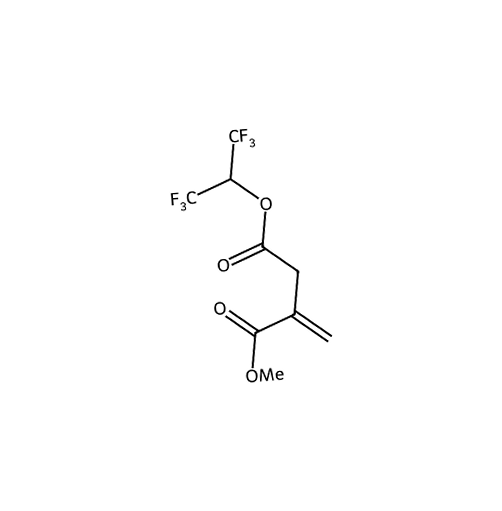 C=C(CC(=O)OC(C(F)(F)F)C(F)(F)F)C(=O)OC